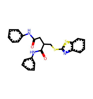 O=C(CC(CSc1nc2ccccc2s1)C(=O)Nc1ccccc1)Nc1ccccc1